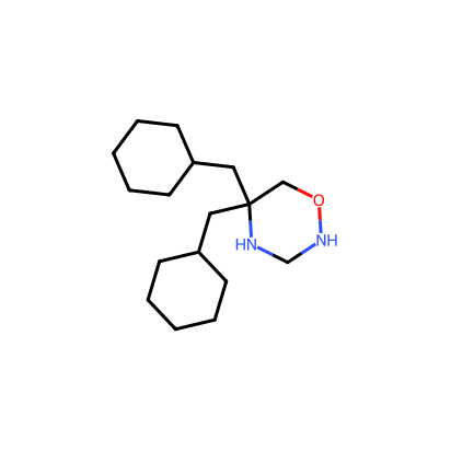 C1CCC(CC2(CC3CCCCC3)CONCN2)CC1